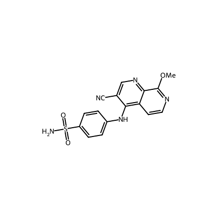 COc1nccc2c(Nc3ccc(S(N)(=O)=O)cc3)c(C#N)cnc12